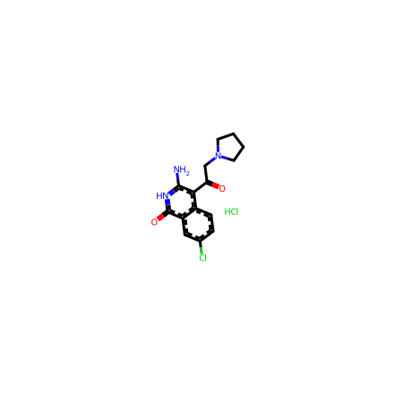 Cl.Nc1[nH]c(=O)c2cc(Cl)ccc2c1C(=O)CN1CCCC1